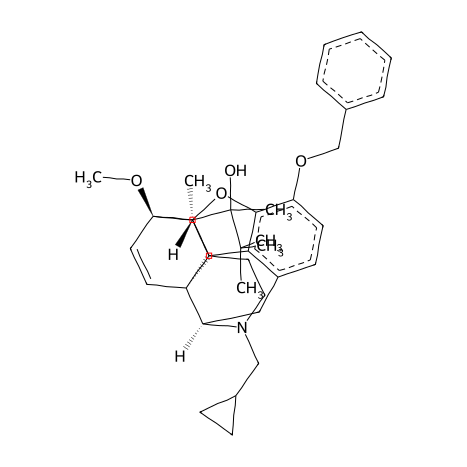 CO[C@]12C=C[C@@]3(C[C@]1(C)C(C)(O)C(C)(C)C)[C@H]1Cc4ccc(OCc5ccccc5)c5c4C3(CCN1CC1CC1)[C@H]2O5